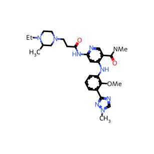 CCN1CCN(CCC(=O)Nc2cc(Nc3cccc(-c4ncn(C)n4)c3OC)c(C(=O)NC)cn2)CC1C